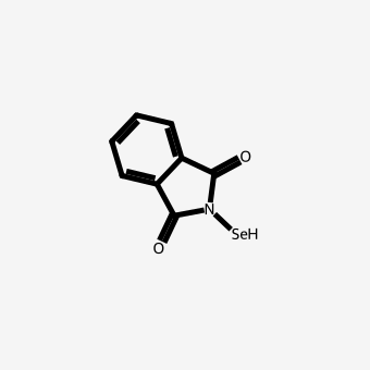 O=C1c2ccccc2C(=O)N1[SeH]